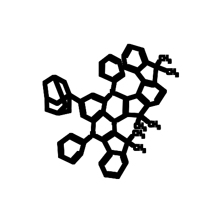 CC1(C)C2=C(c3ccccc31)N(c1ccccc1)c1cc(C34CC5CC(CC(C5)C3)C4)cc3c1B2C1=C(c2c(ccc4c2-c2ccccc2C4(C)C)C1(C)C)N3c1ccccc1